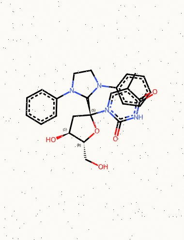 Cc1cn([C@@]2(C3N(c4ccccc4)CCN3c3ccccc3)C[C@H](O)[C@@H](CO)O2)c(=O)[nH]c1=O